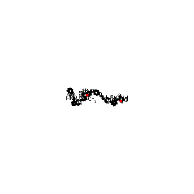 Cn1nc(C2CCC(=O)NC2=O)c2cccc(N3CCN(CCCOC4CCC(Oc5ccc(-c6ccc(N7CCc8cccc(C(=O)Nc9nc%10ccccc%10s9)c8C7)nc6C(=O)OC(C)(C)C)c(C(F)(F)F)c5)CC4)CC3)c21